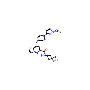 Cn1ccc(-c2ccc(Cc3cc(C(=O)NC4CC5(COC5)C4)nc4ccsc34)cn2)n1